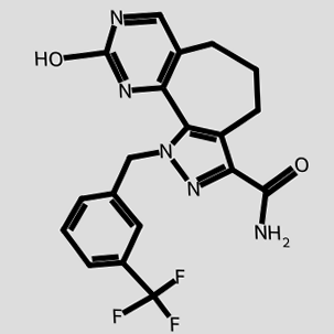 NC(=O)c1nn(Cc2cccc(C(F)(F)F)c2)c2c1CCCc1cnc(O)nc1-2